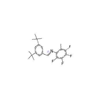 Cc1c(F)c(F)c(F)c(F)c1/N=C/c1cc(C(C)(C)C)cc(C(C)(C)C)c1